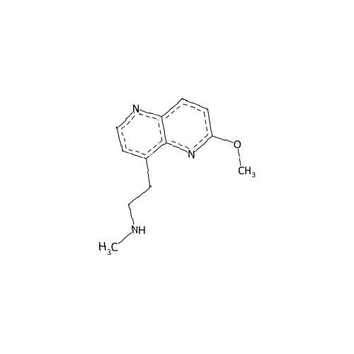 CNCCc1ccnc2ccc(OC)nc12